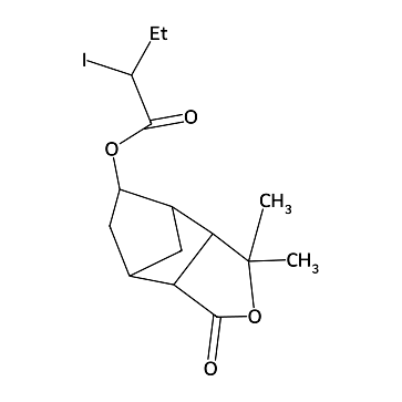 CCC(I)C(=O)OC1CC2CC1C1C2C(=O)OC1(C)C